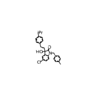 Cc1ccc(CN2C(=O)C(O)(CCc3ccc(C(C)C)cc3)c3cc(Cl)ccc32)cc1